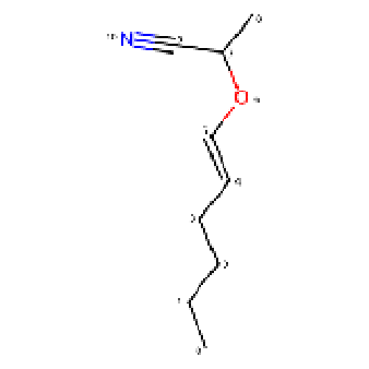 CCCCC=COC(C)C#N